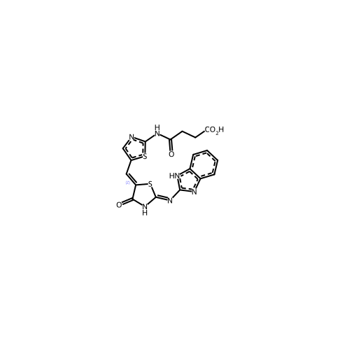 O=C(O)CCC(=O)Nc1ncc(/C=C2\SC(=Nc3nc4ccccc4[nH]3)NC2=O)s1